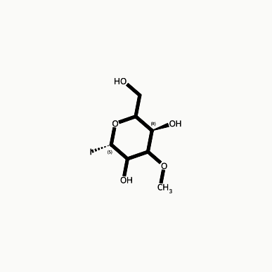 COC1C(O)[C@H](I)OC(CO)[C@H]1O